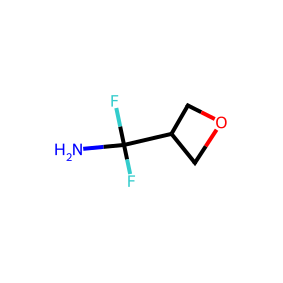 NC(F)(F)C1COC1